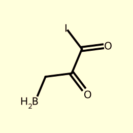 BCC(=O)C(=O)I